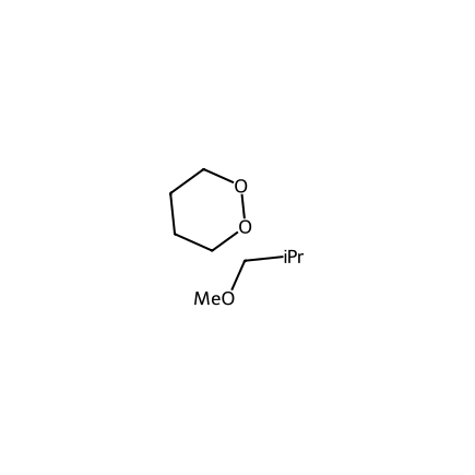 C1CCOOC1.COCC(C)C